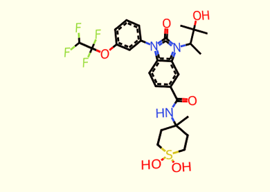 CC(n1c(=O)n(-c2cccc(OC(F)(F)C(F)F)c2)c2ccc(C(=O)NC3(C)CCS(O)(O)CC3)cc21)C(C)(C)O